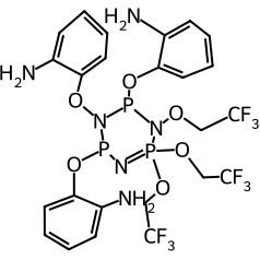 Nc1ccccc1ON1P(Oc2ccccc2N)N=P(OCC(F)(F)F)(OCC(F)(F)F)N(OCC(F)(F)F)P1Oc1ccccc1N